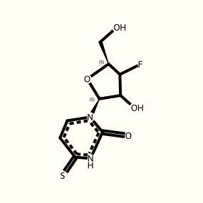 O=c1[nH]c(=S)ccn1[C@H]1O[C@@H](CO)C(F)C1O